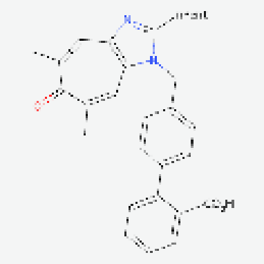 CCCCCc1nc2cc(C)c(=O)c(C)cc2n1Cc1ccc(-c2ccccc2C(=O)O)cc1